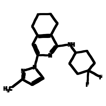 Cc1ccn(-c2cc3c(c(NC4CCC(F)(F)CC4)n2)CCCC3)n1